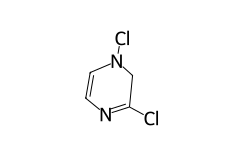 ClC1=NC=CN(Cl)C1